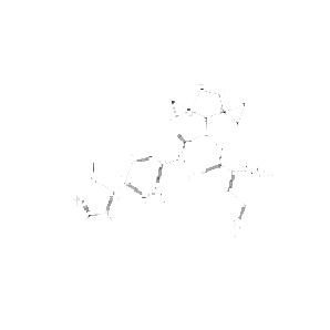 CN/C(=C\C=N)C(=O)NC(C(=O)Nc1ccc(-c2c(C)cnn2C)cn1)C1C2(CC2)CCC12CC2